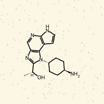 C[C@@H](O)c1nc2cnc3[nH]ccc3c2n1[C@H]1CC[C@H](N)CC1